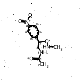 CNOC(CNC(C)=O)c1ccc([N+](=O)[O-])cc1